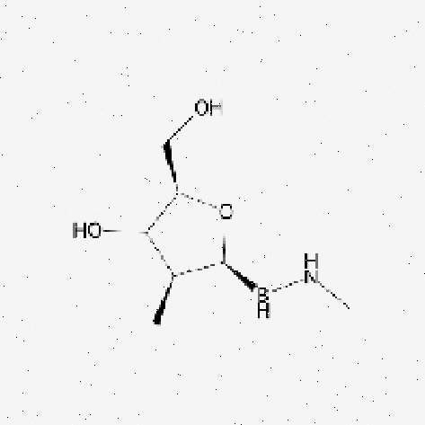 CNB[C@@H]1O[C@H](CO)C(O)[C@@H]1C